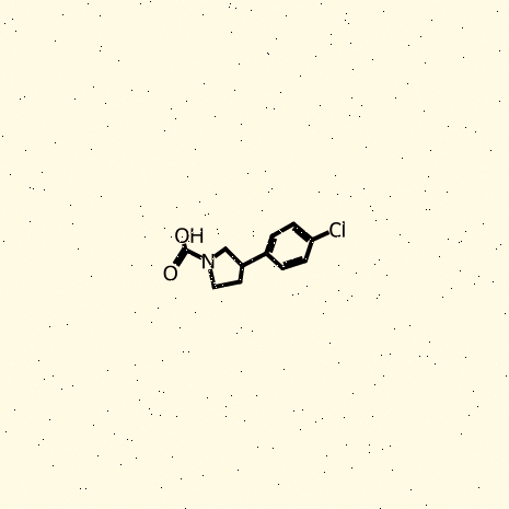 O=C(O)N1CCC(c2ccc(Cl)cc2)C1